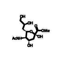 COC(=O)[C@@]1(O)C[C@H](O)[C@@H](NC(C)=O)[C@H](C[C@H](O)CO)O1